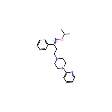 CC(C)O/N=C(\CCN1CCN(c2ccccn2)CC1)c1ccccc1